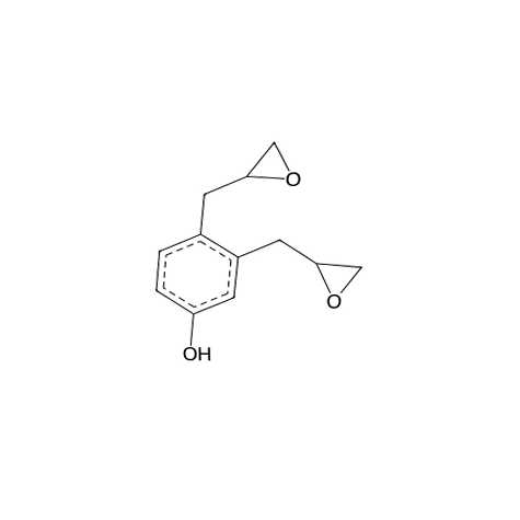 Oc1ccc(CC2CO2)c(CC2CO2)c1